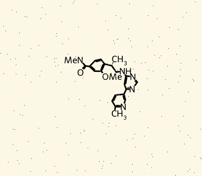 CNC(=O)c1ccc([C@H](C)CNc2cc(-c3ccc(C)nc3)ncn2)c(OC)c1